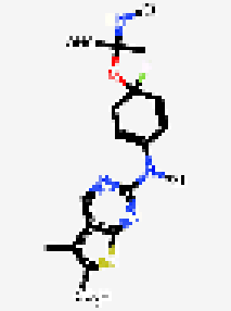 CCNC(C)(C=O)OC1(F)C=CC(N(CC)c2ncc3c(C)c(C(=O)O)sc3n2)=CC1